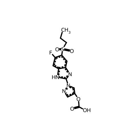 CCCS(=O)(=O)c1cc2nc(-n3cc(OC(=O)O)cn3)[nH]c2cc1F